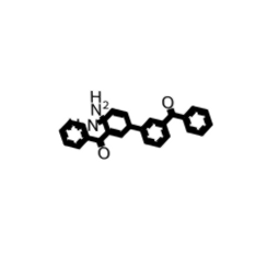 NC1(N)C=CC(c2cccc(C(=O)c3ccccc3)c2)C=C1C(=O)c1ccccc1